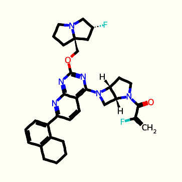 C=C(F)C(=O)N1CC[C@@H]2[C@H]1CN2c1nc(OC[C@@]23CCCN2C[C@H](F)C3)nc2nc(-c3cccc4c3CCCC4)ccc12